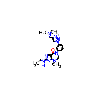 CCNc1ncc2c(n1)N(C)CCN(c1cccc(-n3cc(CN(C)C)nn3)c1)C2=O